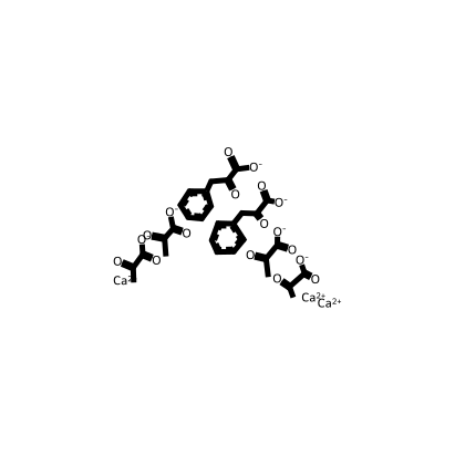 CC(=O)C(=O)[O-].CC(=O)C(=O)[O-].CC(=O)C(=O)[O-].CC(=O)C(=O)[O-].O=C([O-])C(=O)Cc1ccccc1.O=C([O-])C(=O)Cc1ccccc1.[Ca+2].[Ca+2].[Ca+2]